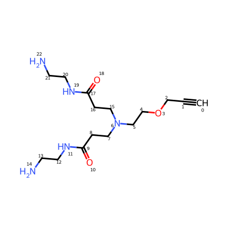 C#CCOCCN(CCC(=O)NCCN)CCC(=O)NCCN